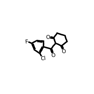 O=C1CCCC(=O)C1C(=O)c1ccc(F)cc1Cl